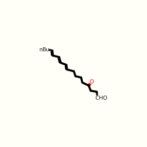 CCCCC=CC=CC=CCCCCC(=O)CCC=O